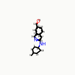 CC1CCC(Nc2cc3ccc(C=O)cc3cn2)CC1